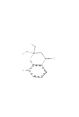 NC1CC(CF)(CF)Oc2c(F)cccc21